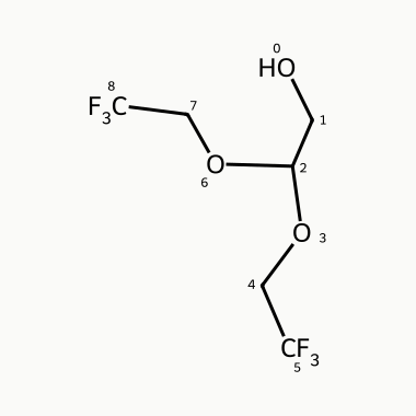 OCC(OCC(F)(F)F)OCC(F)(F)F